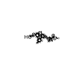 CCOC(=O)c1cn(CCN2CCN(c3ccc(OCCO)cc3Cl)C(c3ccc(C)cc3)C2)c(C)n1